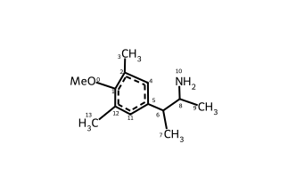 COc1c(C)cc(C(C)C(C)N)cc1C